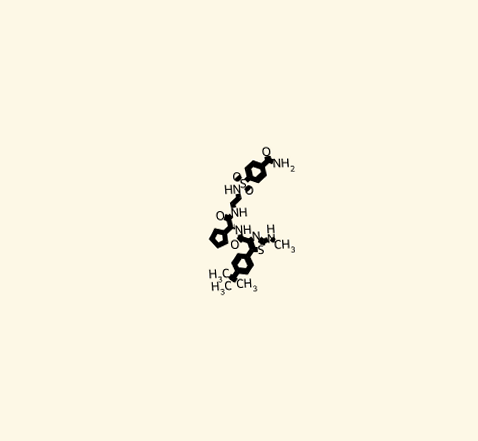 CNc1nc(C(=O)N[C@@H](C(=O)NCCNS(=O)(=O)c2ccc(C(N)=O)cc2)C2CCCC2)c(-c2ccc(C(C)(C)C)cc2)s1